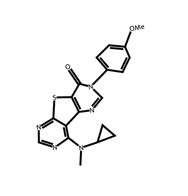 COc1ccc(-n2cnc3c(sc4ncnc(N(C)C5CC5)c43)c2=O)cc1